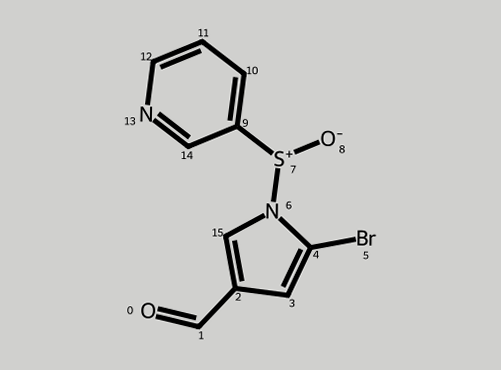 O=Cc1cc(Br)n([S+]([O-])c2cccnc2)c1